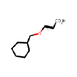 O=C(O)/C=C/OCC1CCCCC1